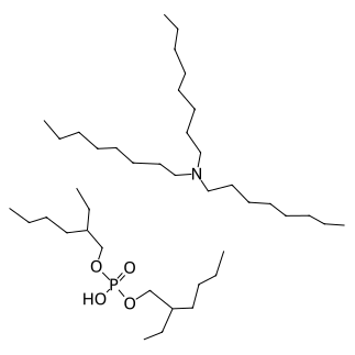 CCCCC(CC)COP(=O)(O)OCC(CC)CCCC.CCCCCCCCN(CCCCCCCC)CCCCCCCC